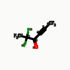 O=C(C#CC(F)(F)F)C(F)(F)C(F)(F)F